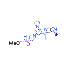 COCCNC(=O)N1CCN(c2cc(Nc3cc4c(cn3)cnn4C(C)C)nc(N3CCCCC3)n2)CC1